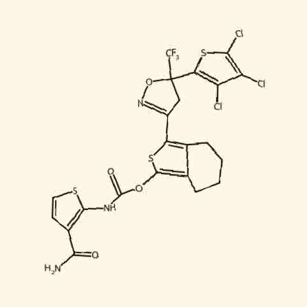 NC(=O)c1ccsc1NC(=O)Oc1sc(C2=NOC(c3sc(Cl)c(Cl)c3Cl)(C(F)(F)F)C2)c2c1CCCC2